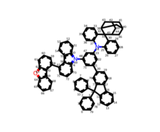 c1ccc(C2(c3ccccc3)c3ccccc3-c3ccc(-c4cc(N5c6ccccc6C6(c7ccccc75)C5CC7CC(C5)CC6C7)cc(-n5c6ccccc6c6c(-c7cccc8oc9ccccc9c78)cccc65)c4)cc32)cc1